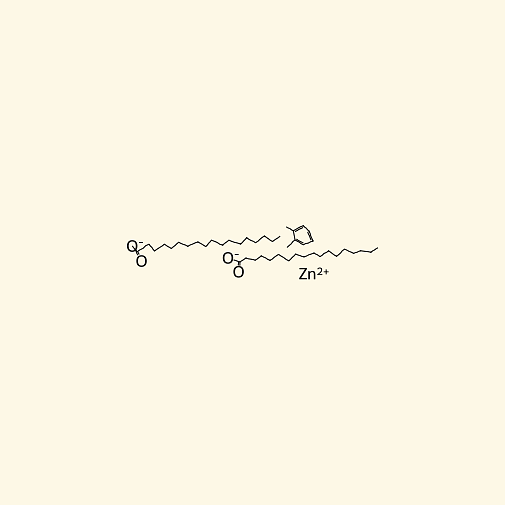 CCCCCCCCCCCCCCCCCC(=O)[O-].CCCCCCCCCCCCCCCCCC(=O)[O-].Cc1ccccc1C.[Zn+2]